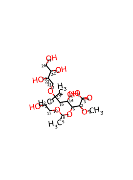 COC(C(=O)O)C(O[C@@H](C)OCCO)[C@H](O)CC(C)(C)OCC(O)C(O)CO